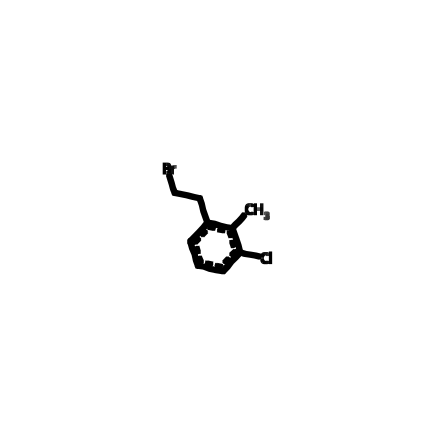 Cc1c(Cl)cccc1CCBr